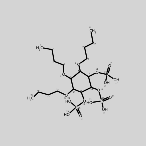 CCCCOC1C(OCCCC)C(OP(=O)(O)O)C(OP(=O)(O)O)C(OP(=O)(O)O)C1OCCCC